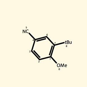 COc1ccc(C#N)cc1C(C)(C)C